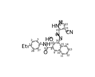 CCc1ccc(NC(=O)c2cc3ccccc3c(/N=N/c3[nH]ncc3C#N)c2O)cc1